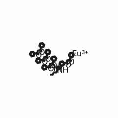 CCCCc1[nH]cc[n+]1C.O=C(CC(=O)c1ccccc1)c1ccccc1.O=C(CC(=O)c1ccccc1)c1ccccc1.O=C(CC(=O)c1ccccc1)c1ccccc1.O=C(CC(=O)c1ccccc1)c1ccccc1.[Eu+3]